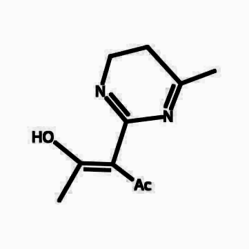 CC(=O)/C(C1=NCCC(C)=N1)=C(\C)O